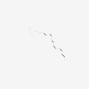 CCCCC[C@H](O)[C@H](O)CC/C=C/C=C\C=C\C(O)=C/C=C\C=CC(=O)O